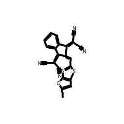 Cc1cc2sc(C=C3C(=C(C#N)C#N)c4ccccc4C3=C(C#N)C#N)nc2o1